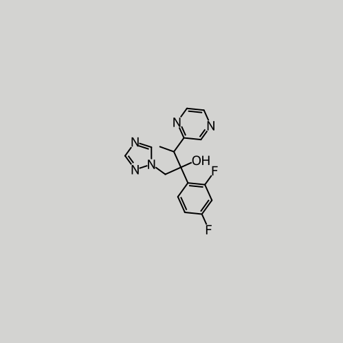 CC(c1cnccn1)C(O)(Cn1cncn1)c1ccc(F)cc1F